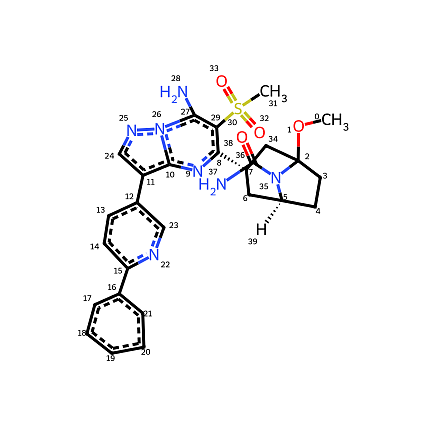 COC12CC[C@@H](C[C@H](c3nc4c(-c5ccc(-c6ccccc6)nc5)cnn4c(N)c3S(C)(=O)=O)C1)N2C(N)=O